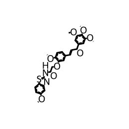 COc1ccc2sc(NC(=O)COc3cc(/C=C/C(=O)c4cc(OC)c(OC)c(OC)c4)ccc3OC)nc2c1